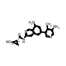 Cc1c(N)cncc1-c1cc(N)c2cnc(NC(=O)[C@@H]3C[C@H]3C#N)cc2c1